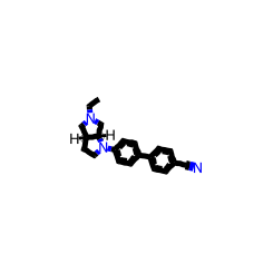 CCN1C[C@H]2CCN(c3ccc(-c4ccc(C#N)cc4)cc3)[C@H]2C1